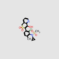 Cc1ccc(C2=C(O)c3ncccc3CS2(=O)=O)c(Cl)c1N(C1CC1)S(C)(=O)=O